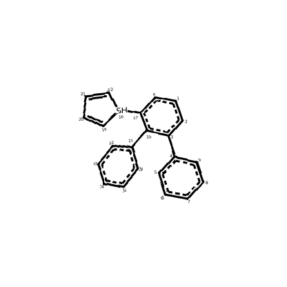 [c]1ccc(-c2ccccc2)c(-c2ccccc2)c1[SH]1C=CC=C1